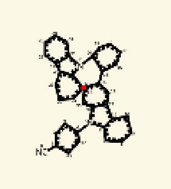 N#Cc1ccc(-n2c3ccccc3c3cc(-c4ccccc4-n4c5ccccc5c5ccccc54)ccc32)cc1